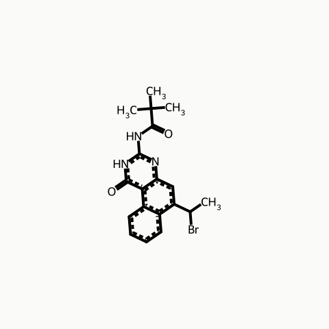 CC(Br)c1cc2nc(NC(=O)C(C)(C)C)[nH]c(=O)c2c2ccccc12